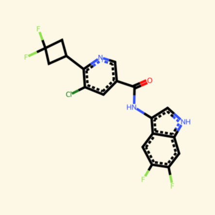 O=C(Nc1c[nH]c2cc(F)c(F)cc12)c1cnc(C2CC(F)(F)C2)c(Cl)c1